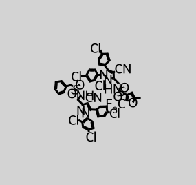 Cc1cc(S(=O)(=O)NCc2nn(-c3ccc(Cl)cc3Cl)c(-c3ccc(Cl)cc3)c2C#N)c(C(F)(F)F)o1.N#Cc1c(CNS(=O)(=O)Cc2ccccc2)nn(-c2ccc(Cl)cc2Cl)c1-c1ccc(Cl)cc1